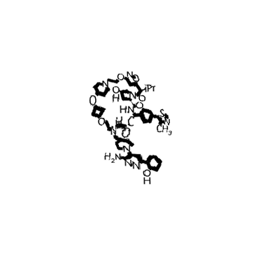 Cc1ncsc1-c1ccc([C@H](C)NC(=O)[C@@H]2C[C@@H](O)CN2C(=O)[C@@H](c2cc(OCCN3CCC(OC4CC(OCCN5CCOC6(CCN(c7cc(-c8ccccc8O)nnc7N)CC6)C5)C4)CC3)no2)C(C)C)cc1